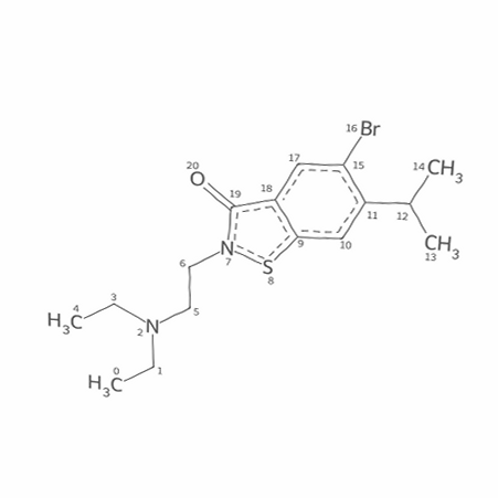 CCN(CC)CCn1sc2cc(C(C)C)c(Br)cc2c1=O